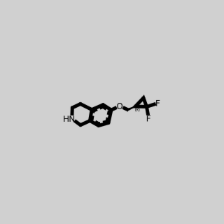 FC1(F)C[C@@H]1COc1ccc2c(c1)CCNC2